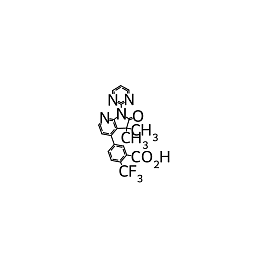 CC1(C)C(=O)N(c2ncccn2)c2nccc(-c3ccc(C(F)(F)F)c(C(=O)O)c3)c21